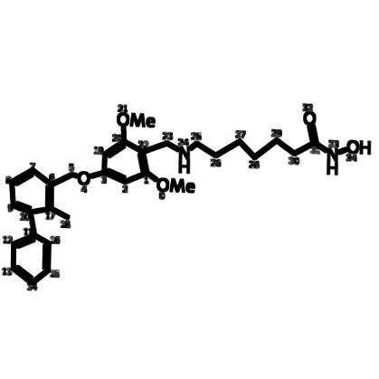 COc1cc(OCc2cccc(-c3ccccc3)c2C)cc(OC)c1CNCCCCCCC(=O)NO